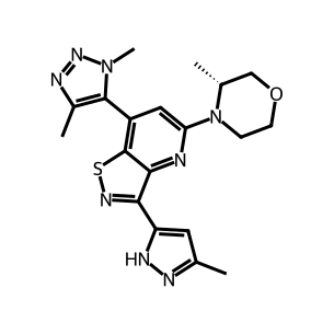 Cc1cc(-c2nsc3c(-c4c(C)nnn4C)cc(N4CCOC[C@H]4C)nc23)[nH]n1